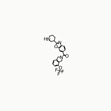 O=C(c1ccc2nc(C3CCCNC3)oc2c1)N1Cc2cccc(OC(F)(F)F)c2C1